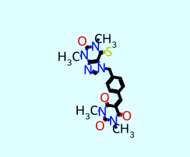 CN1C(=O)C(=Cc2ccc(Cn3cnc4c3c(=S)n(C)c(=O)n4C)cc2)C(=O)N(C)C1=O